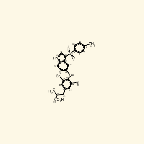 Cc1ccc(S(=O)(=O)c2c[nH]c3ccc(Oc4c(Br)cc(C[C@H](N)C(=O)O)cc4Br)cc23)cc1